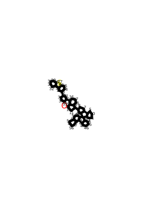 c1ccc2c(c1)-c1ccc(-c3ccc4c5c(cccc35)-c3cc(-c5ccc6sc7ccccc7c6c5)ccc3O4)cc1C21c2ccccc2-c2c1ccc1ccccc21